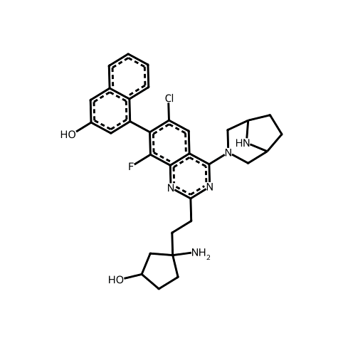 NC1(CCc2nc(N3CC4CCC(C3)N4)c3cc(Cl)c(-c4cc(O)cc5ccccc45)c(F)c3n2)CCC(O)C1